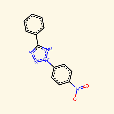 O=[N+]([O-])c1ccc(-[n+]2nnc(-c3ccccc3)[nH]2)cc1